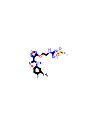 Bc1cc(N/C(=N\O)c2nonc2OCCN/C(N)=N/S(C)(=O)=O)ccc1F